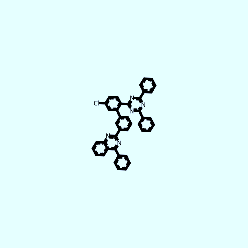 Clc1ccc(-c2nc(-c3ccccc3)nc(-c3ccccc3)n2)c(-c2cccc(-c3nc(-c4ccccc4)c4ccccc4n3)c2)c1